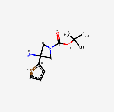 CC(C)(C)OC(=O)N1CC(N)(c2cccs2)C1